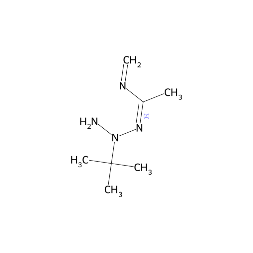 C=N/C(C)=N\N(N)C(C)(C)C